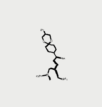 CCCN(C)C/C(C=CC(=N)C1CCC2(CC1)OCC(C(C)C)CO2)=C/N